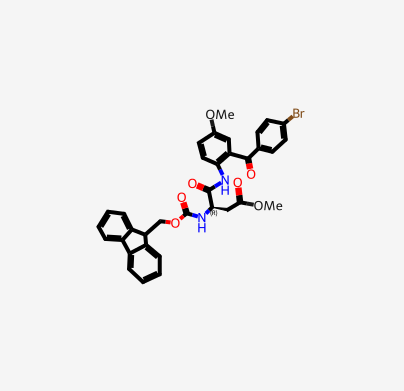 COC(=O)C[C@@H](NC(=O)OCC1c2ccccc2-c2ccccc21)C(=O)Nc1ccc(OC)cc1C(=O)c1ccc(Br)cc1